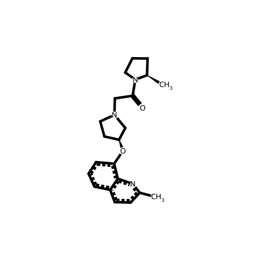 Cc1ccc2cccc(O[C@H]3CCN(CC(=O)N4CCC[C@H]4C)C3)c2n1